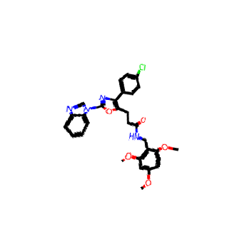 COc1cc(OC)c(CNC(=O)CCc2oc(-n3cnc4ccccc43)nc2-c2ccc(Cl)cc2)c(OC)c1